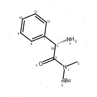 CCCCN(C)C(=O)[C@@H](N)c1ccccc1